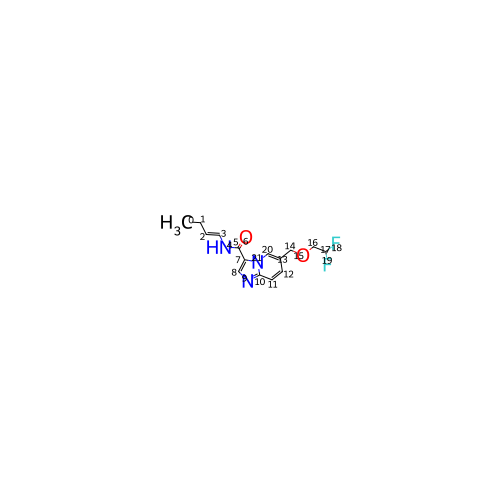 CC/C=C/NC(=O)c1cnc2ccc(COCC(F)F)cn12